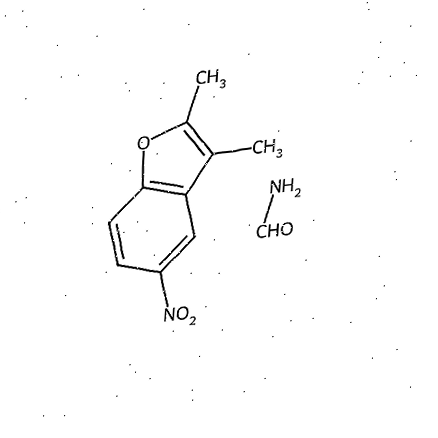 Cc1oc2ccc([N+](=O)[O-])cc2c1C.NC=O